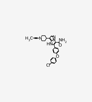 CC#CN1CCC(c2cnn3c(C(N)=O)c(-c4ccc(Oc5ccc(Cl)cc5)cc4)[nH]c23)CC1